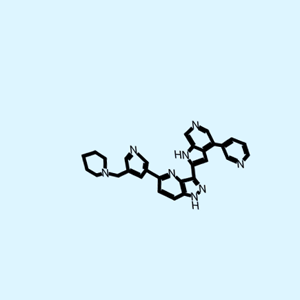 c1cncc(-c2cncc3[nH]c(-c4n[nH]c5ccc(-c6cncc(CN7CCCCC7)c6)nc45)cc23)c1